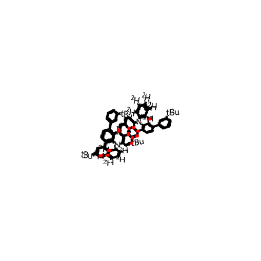 [2H]c1c([2H])c([2H])c(N(c2c(-c3cccc(C(C)(C)C)c3)ccc(-c3cccc(C(C)(C)C)c3)c2F)c2ccc3ccc4c(N(c5c([2H])c([2H])c([2H])c([2H])c5[2H])c5c(-c6cccc(C(C)(C)C)c6)ccc(-c6cccc(C(C)(C)C)c6)c5F)ccc5ccc2c3c54)c([2H])c1[2H]